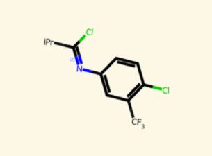 CC(C)/C(Cl)=N/c1ccc(Cl)c(C(F)(F)F)c1